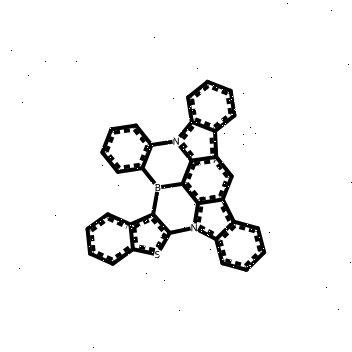 c1ccc2c(c1)B1c3c(sc4ccccc34)-n3c4ccccc4c4cc5c6ccccc6n-2c5c1c43